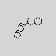 O=C(OC1CCCCC1)C1CC2CC1C1C3CCC(C3)C21